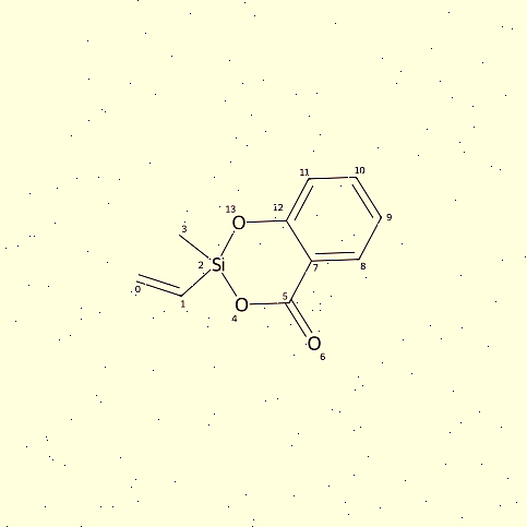 C=C[Si]1(C)OC(=O)c2ccccc2O1